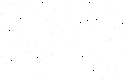 CCC1NC(c2ccccc2)c2ccc(OS(=O)(=O)C(F)(F)F)cc2S(O)(O)C1N(C)C